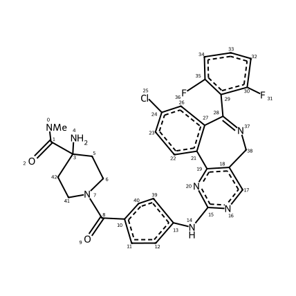 CNC(=O)C1(N)CCN(C(=O)c2ccc(Nc3ncc4c(n3)-c3ccc(Cl)cc3C(c3c(F)cccc3F)=NC4)cc2)CC1